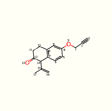 C#CCOc1ccc2c(c1)CCC(=O)C2C(=C)C